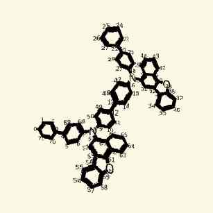 c1ccc(-c2ccc(N(c3ccc(-c4ccc(N(c5ccc(-c6ccccc6)cc5)c5cc6c7ccccc7oc6c6ccccc56)cc4)cc3)c3cc4c5ccccc5oc4c4ccccc34)cc2)cc1